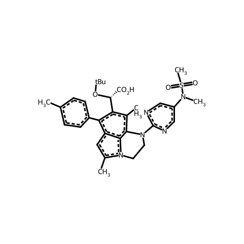 Cc1ccc(-c2c([C@H](OC(C)(C)C)C(=O)O)c(C)c3c4c2cc(C)n4CCN3c2ncc(N(C)S(C)(=O)=O)cn2)cc1